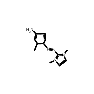 CC1C=C(N)C=CC1N=Nc1n(C)cc[n+]1C